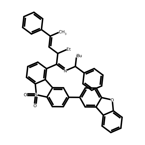 CCC(/C=C(\C)c1ccccc1)/C(=N\C(c1ccccc1)C(C)CC)c1cccc2c1-c1cc(-c3ccc4oc5ccccc5c4c3)ccc1S2(=O)=O